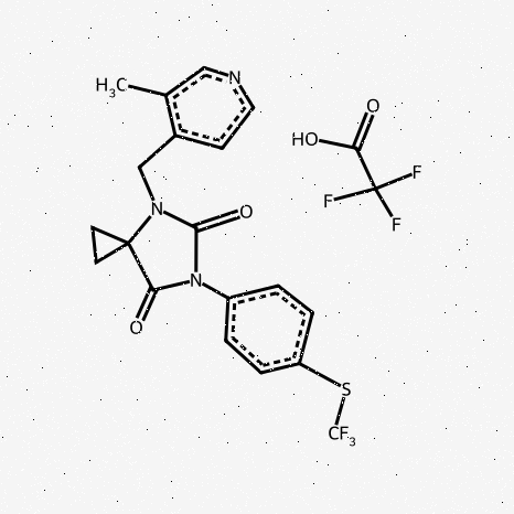 Cc1cnccc1CN1C(=O)N(c2ccc(SC(F)(F)F)cc2)C(=O)C12CC2.O=C(O)C(F)(F)F